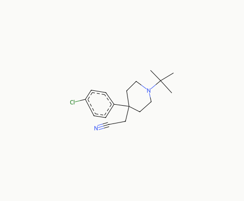 CC(C)(C)N1CCC(CC#N)(c2ccc(Cl)cc2)CC1